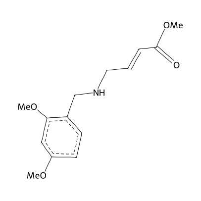 COC(=O)C=CCNCc1ccc(OC)cc1OC